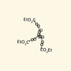 CCOC(=O)/C=C/c1ccc(OCCCC(=O)OCC(COC(=O)CCCOc2ccc(/C=C/C(=O)OCC)cc2)OC(=O)CCCOc2ccc(/C=C/C(=O)OCC)cc2)cc1